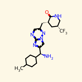 CC1CCC([C@H](N)c2cn3nc(C[C@H]4C[C@@H](C(F)(F)F)CNC4=O)cnc3n2)CC1